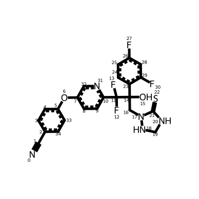 N#Cc1ccc(Oc2ccc(C(F)(F)C(O)(CN3NCNC3=S)c3ccc(F)cc3F)nc2)cc1